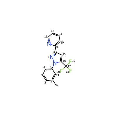 Cc1cccc(-n2nc(-c3ccccn3)cc2C(F)(F)F)c1